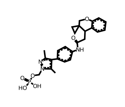 Cc1nn(COP(=O)(O)O)c(C)c1-c1ccc(NC(=O)CC2c3ccccc3OCC23CC3)cc1